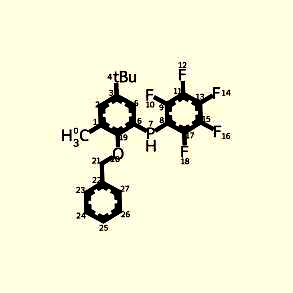 Cc1cc(C(C)(C)C)cc(Pc2c(F)c(F)c(F)c(F)c2F)c1OCc1ccccc1